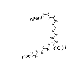 CCCCC/C=C\C/C=C\CCCCCCC(CCCCCCCCCCCCCCCC)C(=O)O